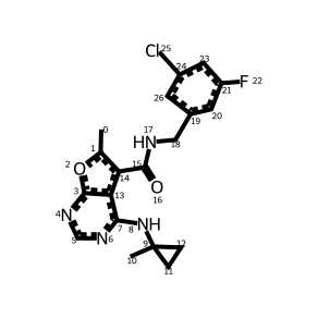 Cc1oc2ncnc(NC3(C)CC3)c2c1C(=O)NCc1cc(F)cc(Cl)c1